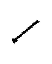 CO[Si](CCCCCCCCCCCCCCCCCCCCCCCCCCCCCBr)(OC)OC